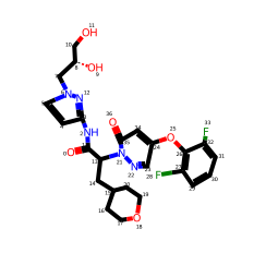 O=C(Nc1ccn(C[C@@H](O)CO)n1)C(CC1CCOCC1)n1ncc(Oc2c(F)cccc2F)cc1=O